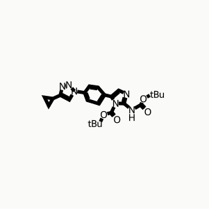 CC(C)(C)OC(=O)Nc1ncc(-c2ccc(-n3cc(C4CC4)nn3)cc2)n1C(=O)OC(C)(C)C